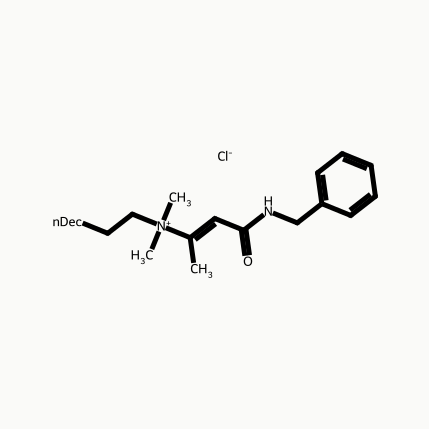 CCCCCCCCCCCC[N+](C)(C)/C(C)=C/C(=O)NCc1ccccc1.[Cl-]